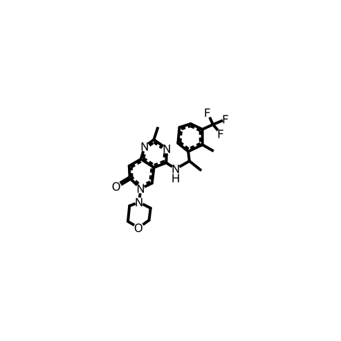 Cc1nc(NC(C)c2cccc(C(F)(F)F)c2C)c2cn(N3CCOCC3)c(=O)cc2n1